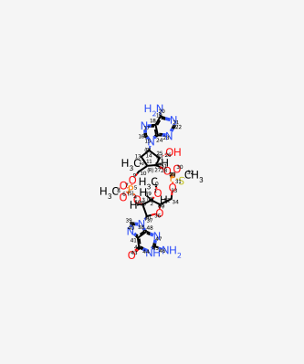 CO[C@H]1[C@H]2O[P@@](=O)(OC)OC[C@@]3(C)C[C@@H](n4cnc5c(N)ncnc54)[C@H](O)[C@@H]3O[P@](=O)(SC)OC[C@H]1O[C@H]2n1cnc2c(=O)[nH]c(N)nc21